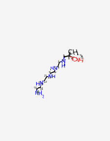 CC(O)CNCCNCCNCCNCCN